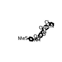 CSc1ccc(NC(=O)ON2CCC3(CC2)CC(C(=O)N2CCN(c4ncccc4Cl)CC2)=NO3)cc1